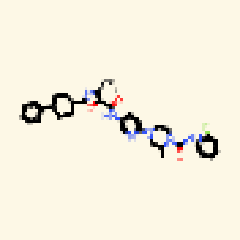 CC1CN(c2ccc(NC(=O)c3oc(C4CCC(c5ccccc5)CC4)nc3C(F)(F)F)cn2)CCN1C(=O)Nc1ccccc1F